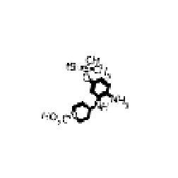 CC(C)(C)[Si](C)(C)Oc1ccc(N)c(NC2CCN(C(=O)O)CC2)c1